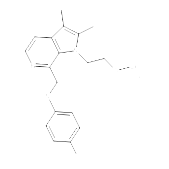 CCOCCn1c(C)c(C)c2ccnc(CNc3ccc(F)cc3)c21.Cl